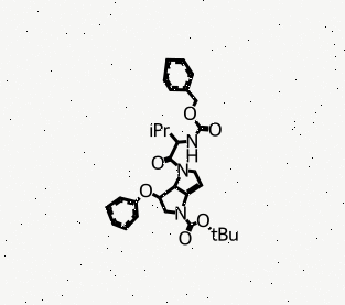 CC(C)C(NC(=O)OCc1ccccc1)C(=O)N1CC=C2C1C(Oc1ccccc1)CN2C(=O)OC(C)(C)C